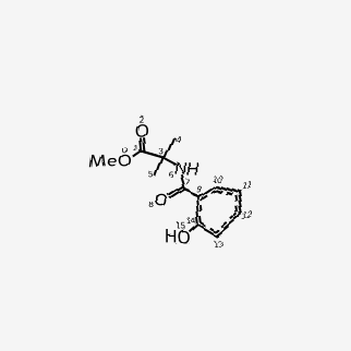 COC(=O)C(C)(C)NC(=O)c1ccccc1O